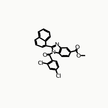 COC(=O)c1ccc2c(c1)nc(-c1cccc3ccccc13)n2C(=O)c1ccc(Cl)cc1Cl